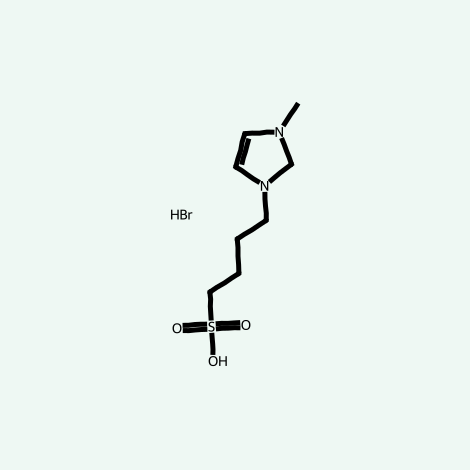 Br.CN1C=CN(CCCCS(=O)(=O)O)C1